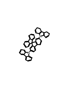 C1=Cc2c(c3c(n2-c2ccc4c(c2)C2(c5ccccc5-c5ccccc52)c2cc(-n5c6ccccc6c6ccccc65)ccc2-4)C=CCC3)CC1